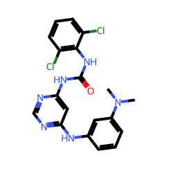 CN(C)c1cccc(Nc2cc(NC(=O)Nc3c(Cl)cccc3Cl)ncn2)c1